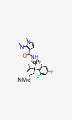 C=Nc1c(C(=O)NCCC(CCNC)(C(=C)C)c2c(F)cc(F)cc2CCC)ccn1C